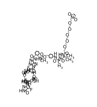 CC(C)[C@H](NC(=O)CCOCCOCCOCCOCCOCCN1C(=O)C=CC1=O)C(=O)N[C@@H](C)C(=O)Nc1ccc(COC(=O)N(C)Cc2ccccc2C(=O)Nc2ncnc3c2ncn3[C@@H]2O[C@@H]3CO[P@@](=O)(S)O[C@@H]4[C@H](O)[C@@H](CO[P@@](=O)(S)O[C@H]3[C@H]2F)O[C@H]4n2cc(F)c3c(=O)[nH]cnc32)cc1